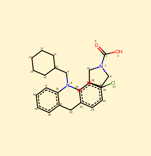 O=C(O)N1CCC(CN(CC2CCCCC2)c2ccccc2Cc2ccc(Cl)cc2)C1